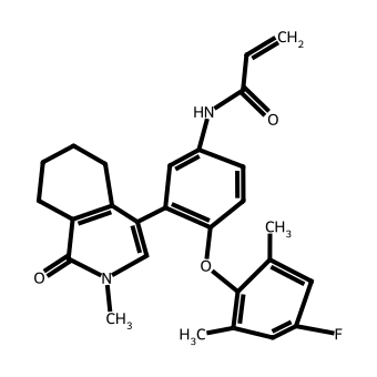 C=CC(=O)Nc1ccc(Oc2c(C)cc(F)cc2C)c(-c2cn(C)c(=O)c3c2CCCC3)c1